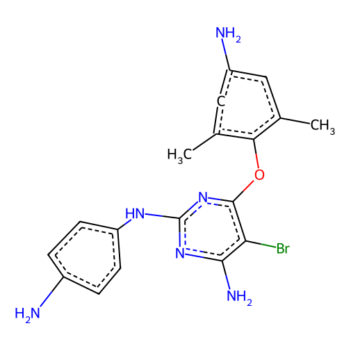 Cc1cc(N)cc(C)c1Oc1nc(Nc2ccc(N)cc2)nc(N)c1Br